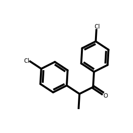 CC(C(=O)c1ccc(Cl)cc1)c1ccc(Cl)cc1